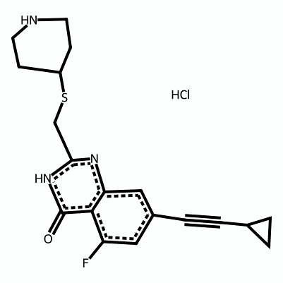 Cl.O=c1[nH]c(CSC2CCNCC2)nc2cc(C#CC3CC3)cc(F)c12